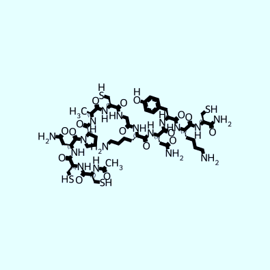 CC(=O)N[C@@H](CS)C(=O)N[C@@H](CS)C(=O)N[C@@H](CC(N)=O)C(=O)N1CCC[C@H]1C(=O)N[C@@H](C)C(=O)N[C@@H](CS)C(=O)NCC(=O)N[C@@H](CCCCN)C(=O)N[C@@H](CC(N)=O)C(=O)N[C@@H](Cc1ccc(O)cc1)C(=O)N[C@@H](CCCCN)C(=O)N[C@@H](CS)C(N)=O